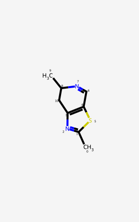 Cc1nc2c(s1)C=NC(C)C2